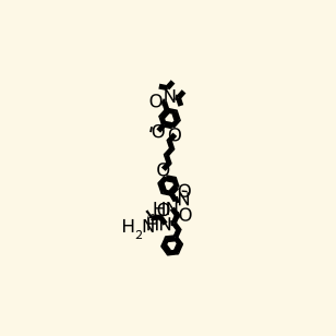 COc1cc(C(=O)N(C(C)C)C(C)C)ccc1OCCCCOc1ccc2c(NC(=O)C(Cc3ccccc3)NC(=O)[C@H](C)N)noc2c1